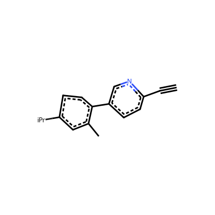 C#Cc1ccc(-c2ccc(C(C)C)cc2C)cn1